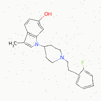 Cc1cn(C2CCN(CCc3ccccc3F)CC2)c2cc(O)ccc12